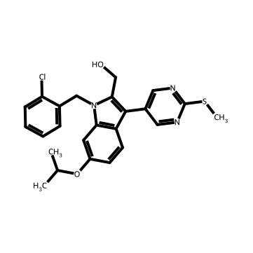 CSc1ncc(-c2c(CO)n(Cc3ccccc3Cl)c3cc(OC(C)C)ccc23)cn1